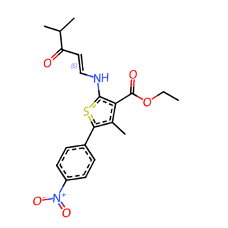 CCOC(=O)c1c(N/C=C/C(=O)C(C)C)sc(-c2ccc([N+](=O)[O-])cc2)c1C